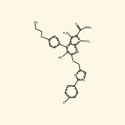 CNC(=O)c1c(N)c2c(-c3ccc(OCCO)cc3)c(C#N)c(SCc3csc(-c4ccc(Cl)cc4)n3)nc2n1C